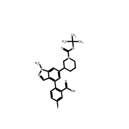 Cn1ncc2c(-c3ccc(F)cc3C(=O)O)cc(C3CCCN(C(=O)OC(C)(C)C)C3)cc21